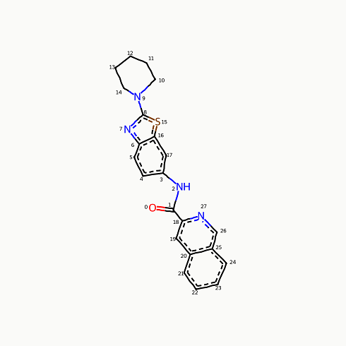 O=C(Nc1ccc2nc(N3CCCCC3)sc2c1)c1cc2ccccc2cn1